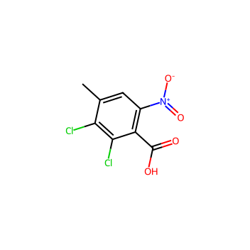 Cc1cc([N+](=O)[O-])c(C(=O)O)c(Cl)c1Cl